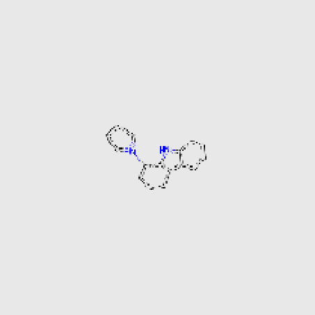 c1ccc2c(c1)[nH]c1c(-n3cccc3)cccc12